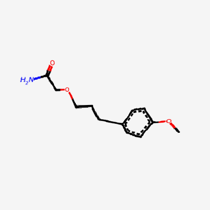 COc1ccc(CCCOCC(N)=O)cc1